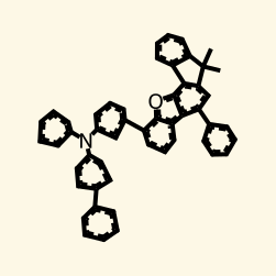 CC1(C)c2ccccc2-c2c1cc(-c1ccccc1)c1c2oc2c(-c3cccc(N(c4ccccc4)c4ccc(-c5ccccc5)cc4)c3)cccc21